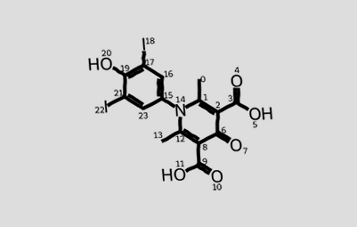 Cc1c(C(=O)O)c(=O)c(C(=O)O)c(C)n1-c1cc(I)c(O)c(I)c1